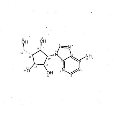 Nc1ncnc2c1ncn2[C@@H]1C(O)C(O)[C@H](CO)[C@@H]1O